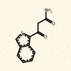 NC(=O)CC(=O)c1scc2ccccc12